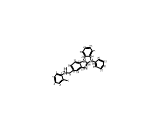 Cc1ccccc1NCc1ccc2c(c1)nc1n(-c3ccccc3)c3ccccc3n21